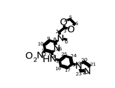 CN(CC1OCCO1)c1ccc([N+](=O)[O-])c(Nc2ccc(-n3ccnc3)cc2)n1